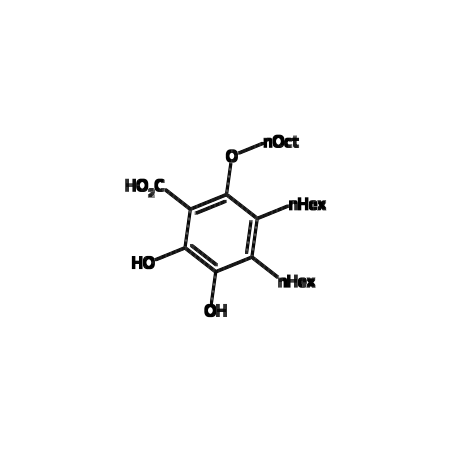 CCCCCCCCOc1c(CCCCCC)c(CCCCCC)c(O)c(O)c1C(=O)O